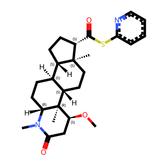 CO[C@H]1CC(=O)N(C)[C@@H]2CC[C@H]3[C@@H]4CC[C@H](C(=O)Sc5ccccn5)[C@@]4(C)CC[C@@H]3[C@@]12C